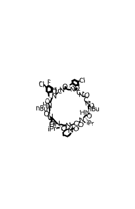 CCCC[C@@H]1NC(=O)[C@H](Cc2ccc(F)c(Cl)c2)NC(=O)CN(C)C(=O)[C@H](Cc2ccc(Cl)cc2)N(C)C(=O)CN(C)C(=O)CN(C)C(=O)[C@H]([C@@H](C)CC)NC(=O)[C@H](CC(C)C)N(C)C(=O)C[C@@H](C(=O)N2CCCCC2)N(C)C(=O)[C@H](CC(C)C)NC(=O)C(C)(C)N(C)C1=O